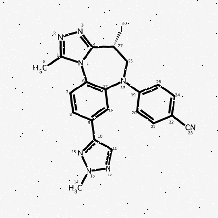 Cc1nnc2n1-c1ccc(-c3cnn(C)n3)cc1N(c1ccc(C#N)cc1)C[C@H]2I